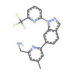 Cc1cc(CN)nc(-c2ccc3cnn(-c4cccc(C(F)(F)F)n4)c3c2)c1